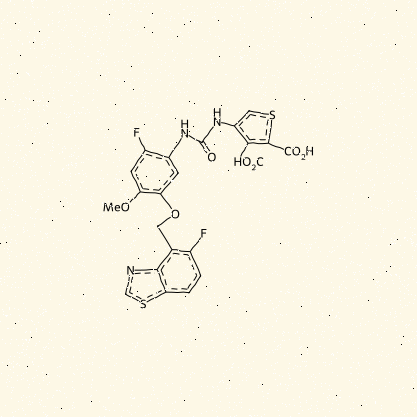 COc1cc(F)c(NC(=O)Nc2csc(C(=O)O)c2C(=O)O)cc1OCc1c(F)ccc2scnc12